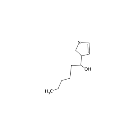 CCCCCC(O)[C]1C=CSC1